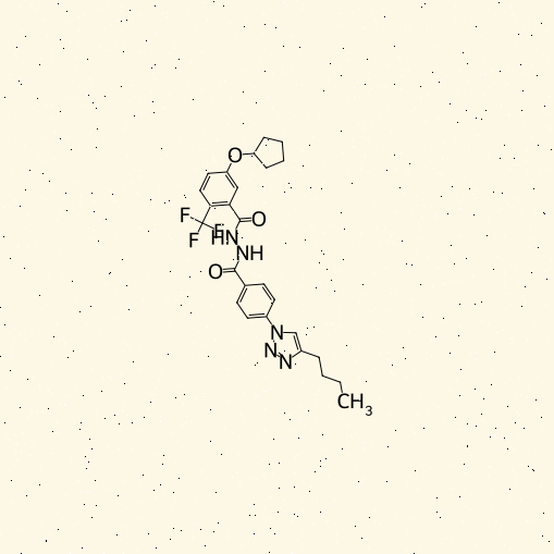 CCCCc1cn(-c2ccc(C(=O)NNC(=O)c3cc(OC4CCCC4)ccc3C(F)(F)F)cc2)nn1